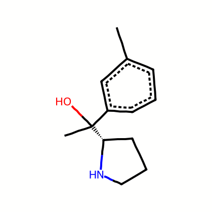 Cc1cccc(C(C)(O)[C@@H]2CCCN2)c1